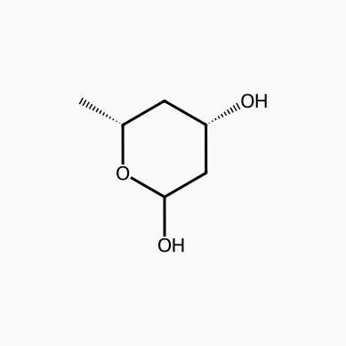 C[C@@H]1C[C@H](O)CC(O)O1